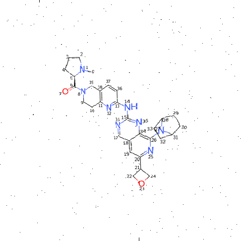 CN1CCC[C@@H]1C(=O)N1CCc2nc(Nc3ncc4cc(C5COC5)nc(N5C6CCC5CC6)c4n3)ccc2C1